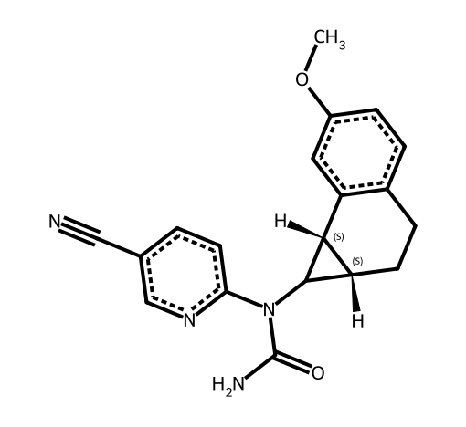 COc1ccc2c(c1)[C@H]1C(N(C(N)=O)c3ccc(C#N)cn3)[C@H]1CC2